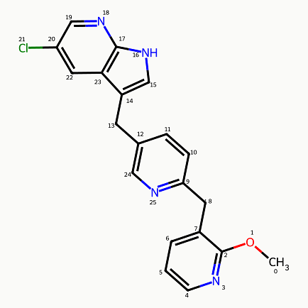 COc1ncccc1[CH]c1ccc(Cc2c[nH]c3ncc(Cl)cc23)cn1